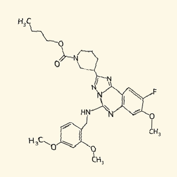 CCCCOC(=O)N1CCCC(c2nc3c4cc(F)c(OC)cc4nc(NCc4ccc(OC)cc4OC)n3n2)C1